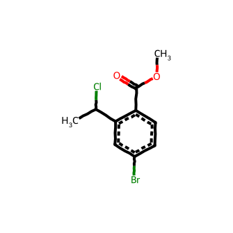 COC(=O)c1ccc(Br)cc1C(C)Cl